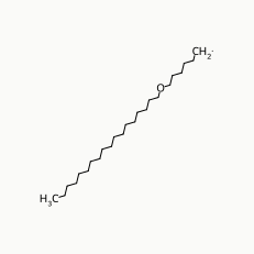 [CH2]CCCCCOCCCCCCCCCCCCCCCCCC